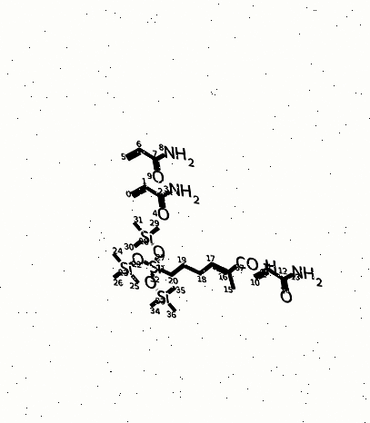 C=CC(N)=O.C=CC(N)=O.C=CC(N)=O.CC(=CCCC[Si](O[Si](C)(C)C)(O[Si](C)(C)C)O[Si](C)(C)C)C(=O)O